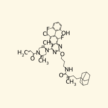 C=CC(=O)N1C[C@H](C)N(c2nc(OCCCNC(=O)[C@H](C)CCC34CC5CC(CC(C5)C3)C4)nc3c(F)c(-c4c(O)cccc4F)c(Cl)cc23)C[C@H]1C